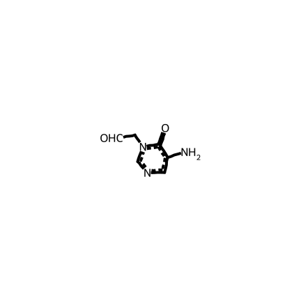 Nc1cncn(CC=O)c1=O